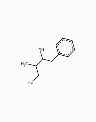 CC(CO)C(O)Cc1ccccc1